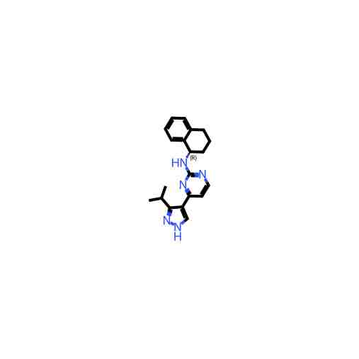 CC(C)c1n[nH]cc1-c1ccnc(N[C@@H]2CCCc3ccccc32)n1